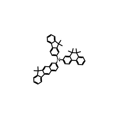 CC1(C)c2ccccc2-c2ccc(N(c3ccc4c(c3)C(C)(C)C(C)(C)c3ccccc3-4)c3ccc4cc5c(cc4c3)C(C)(C)c3ccccc3-5)cc21